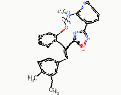 CNc1ncccc1-c1noc(/C(=C/c2ccc(C)c(C)c2)c2ccccc2OC)n1